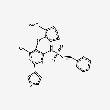 COc1ccccc1Oc1c(Cl)nc(-c2ccsc2)nc1NS(=O)(=O)/C=C/c1ccccc1